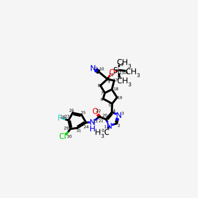 Cn1cnc(C2CC3CC(C#N)(O[Si](C)(C)C)CC3C2)c1C(=O)Nc1ccc(F)c(Cl)c1